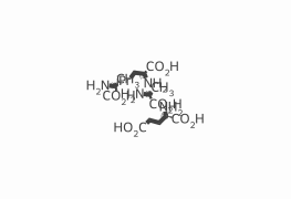 CC(C)C[C@H](N)C(=O)O.C[C@H](N)C(=O)O.C[C@H](N)C(=O)O.N[C@@H](CCC(=O)O)C(=O)O